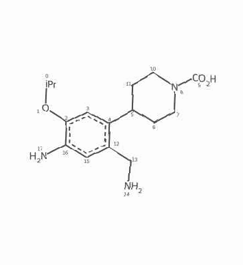 CC(C)Oc1cc(C2CCN(C(=O)O)CC2)c(CN)cc1N